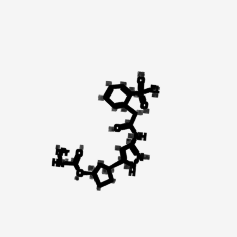 CCCNC(=O)O[C@@H]1CC[C@H](c2cc(NC(=O)Cc3ccccc3S(=O)(=O)CC)n[nH]2)C1